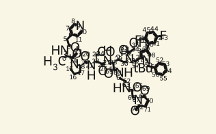 C[C@H](NC(=O)Cc1ccncc1)C(=O)N1CCC[C@@H]1C(=O)N[C@@H](CC(=O)O)C(=O)N[C@@H](CCN(C(=O)CO)[C@@H](c1cc(-c2cc(F)ccc2F)cn1Cc1ccccc1)C(C)(C)C)C(=O)NCCNC(=O)CN1C(=O)C=CC1=O